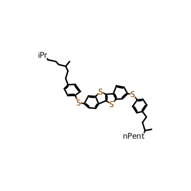 CCCCCC(C)CCc1ccc(Sc2ccc3c(c2)sc2c4ccc(Sc5ccc(CCC(C)CCCC(C)C)cc5)cc4sc32)cc1